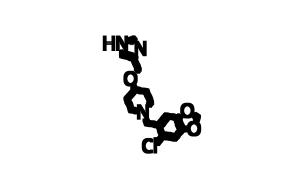 Clc1cc2c(cc1CN1CCC(OCc3c[nH]cn3)CC1)OCO2